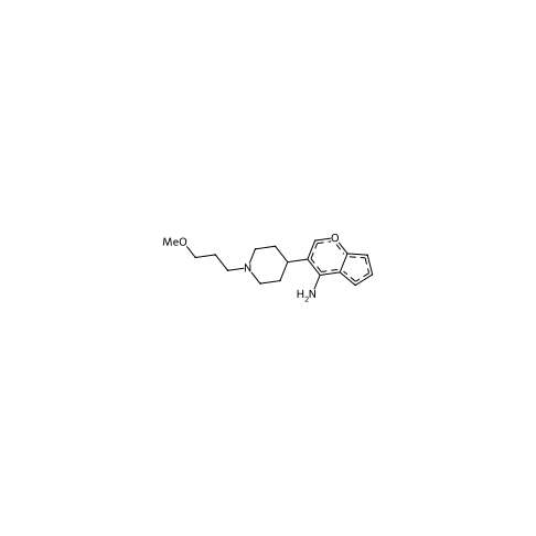 COCCCN1CCC(c2coc3cccc-3c2N)CC1